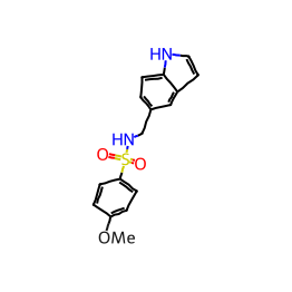 COc1ccc(S(=O)(=O)NCc2ccc3[nH]ccc3c2)cc1